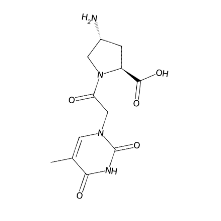 Cc1cn(CC(=O)N2C[C@H](N)C[C@H]2C(=O)O)c(=O)[nH]c1=O